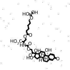 C[C@]12C[C@H](O)[C@@]3(F)[C@@H](CCC4=CC(=O)C=C[C@@]43C)[C@@H]1C[C@@H](O)C2(O)C(=O)COC(=O)NC(COC(=O)CCCCCON(O)O)C(=O)O